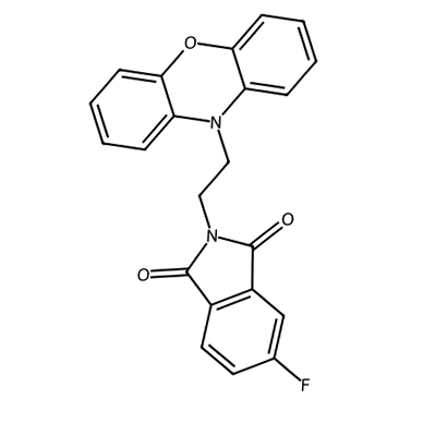 O=C1c2ccc(F)cc2C(=O)N1CCN1c2ccccc2Oc2ccccc21